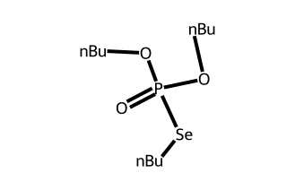 CCCCOP(=O)(OCCCC)[Se]CCCC